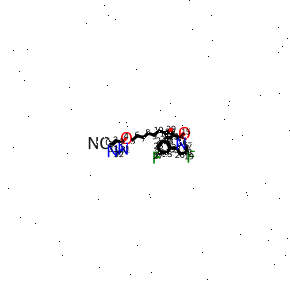 N#Cc1cc(OCCCCCCC23CC(C(=O)N4CC(F)CC4c4cccc(F)c4)(C2)C3)ncn1